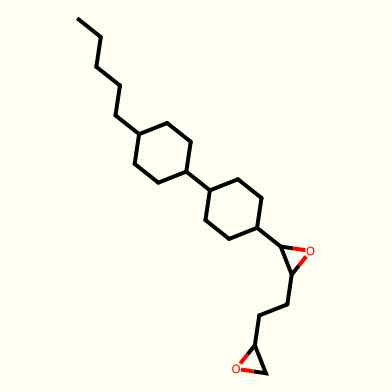 CCCCCC1CCC(C2CCC(C3OC3CCC3CO3)CC2)CC1